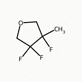 CC1(F)COCC1(F)F